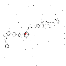 Cc1c(-c2ccc(-c3ccc4c(c3)N(C(=O)Nc3nc5ccccc5s3)CCO4)nc2C(=O)O)cnn1CC12CC3(C)CC(C)(C1)CC(OCCN(C)C(=O)OCc1ccc(N(C(=O)[C@@H](NC(=O)CCCCCN4C(=O)C=CC4=O)C(C)C)[C@@H](CCCNC(N)=O)C(N)=O)cc1)(C3)C2